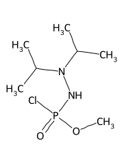 COP(=O)(Cl)NN(C(C)C)C(C)C